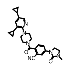 CN1CCN(c2ccc(C(=O)N3CCN(c4ncc(C5CC5)cc4C4CC4)CC3)c(C#N)c2)C1=O